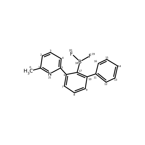 Cc1cccc(-c2cccc(-c3ccccc3)c2B(F)F)n1